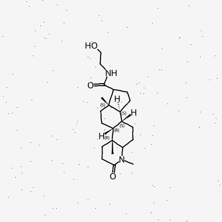 CN1C(=O)CC[C@@]2(C)C1CC[C@@H]1[C@H]2CC[C@]2(C)C(C(=O)NCCO)CC[C@@H]12